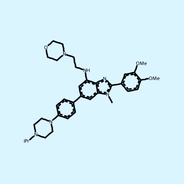 COc1ccc(-c2nc3c(NCCN4CCOCC4)cc(-c4ccc(N5CCN(C(C)C)CC5)cc4)cc3n2C)cc1OC